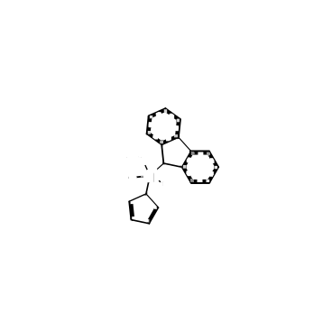 CC[CH2][Hf]([CH3])([CH3])([CH]1C=CC=C1)[CH]1c2ccccc2-c2ccccc21